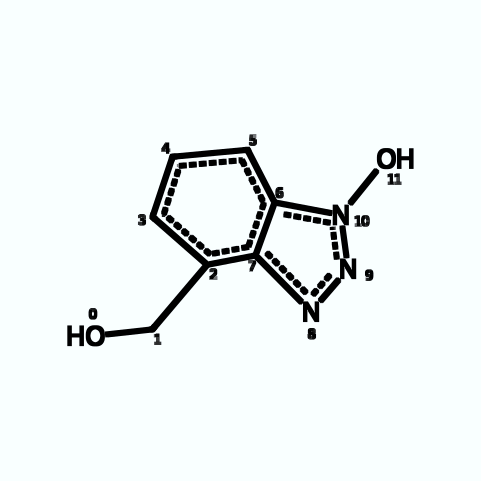 OCc1cccc2c1nnn2O